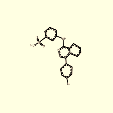 NS(=O)(=O)c1cccc(Nc2nnc(-c3ccc(Cl)cc3)c3ccccc23)c1